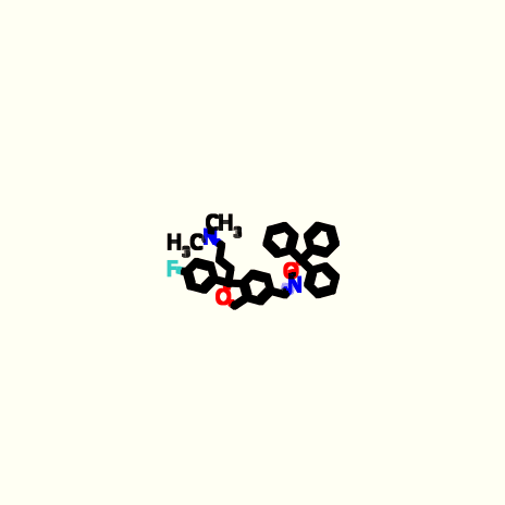 CN(C)CCCC1(c2ccc(F)cc2)OCc2cc(/C=N\OC(c3ccccc3)(c3ccccc3)c3ccccc3)ccc21